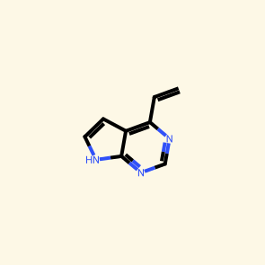 C=Cc1ncnc2[nH]ccc12